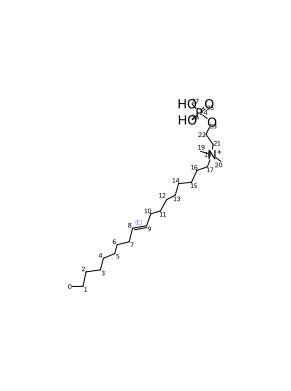 CCCCCCCC/C=C/CCCCCCCC[N+](C)(C)CCOP(=O)(O)O